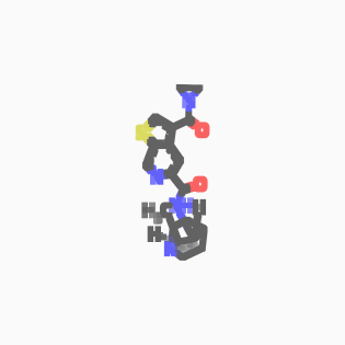 C[C@H]1[C@H](NC(=O)c2cc3c(C(=O)N4CC4)csc3cn2)C2CCN1CC2